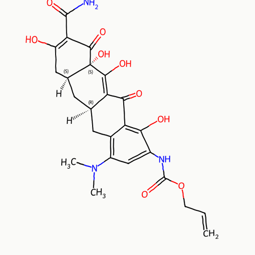 C=CCOC(=O)Nc1cc(N(C)C)c2c(c1O)C(=O)C1=C(O)[C@]3(O)C(=O)C(C(N)=O)=C(O)C[C@@H]3C[C@@H]1C2